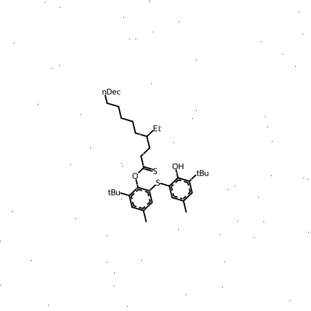 CCCCCCCCCCCCCCCC(CC)CCC(=S)Oc1c(Sc2cc(C)cc(C(C)(C)C)c2O)cc(C)cc1C(C)(C)C